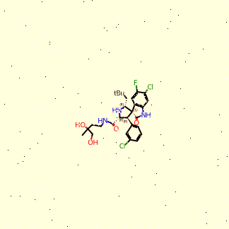 CC(C)(C)C[C@H]1N[C@@H](C(=O)NCCC(C)(O)CO)[C@H](c2cccc(Cl)c2)[C@@]12C(=O)Nc1cc(Cl)c(F)cc12